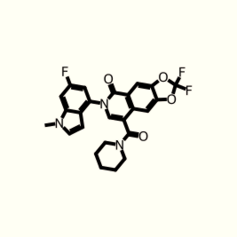 Cn1ccc2c(-n3cc(C(=O)N4CCCCC4)c4cc5c(cc4c3=O)OC(F)(F)O5)cc(F)cc21